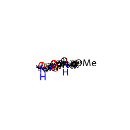 C=CC(=O)Nc1cc2c(s1)CN(S(=O)(=O)c1ccc(C(=O)NCCc3ccc(OC)cc3)cc1)C2